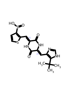 CC(C)(C)c1[nH]cnc1/C=c1\[nH]c(=O)/c(=C/c2sccc2S(=O)O)[nH]c1=O